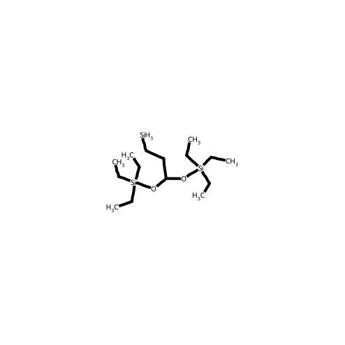 CC[Si](CC)(CC)OC(CC[SiH3])O[Si](CC)(CC)CC